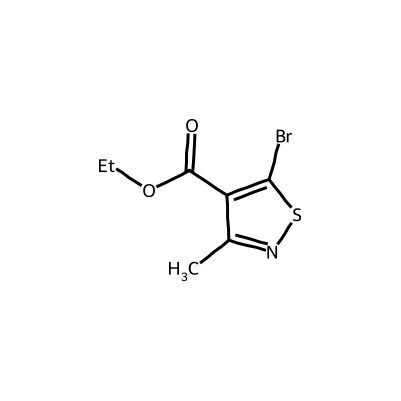 CCOC(=O)c1c(C)nsc1Br